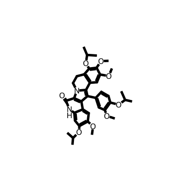 COc1cc(-c2c3n(c4c(=O)[nH]c5cc(OC(C)C)c(OC)cc5c24)CCc2c-3cc(OC)c(OC)c2OC(C)C)ccc1OC(C)C